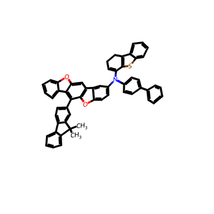 CC1(C)c2ccccc2-c2ccc(-c3c4oc5ccc(N(C6=CCCc7c6sc6ccccc76)c6ccc(-c7ccccc7)cc6)cc5c4cc4oc5ccccc5c34)cc21